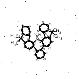 CN1c2c(ccc3c2-c2ccccc2C3(C)C)-c2ccccc2-c2ccc3c(c21)-c1ccccc1C3(C)C